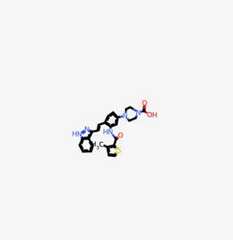 Cc1ccsc1C(=O)Nc1cc(N2CCN(C(=O)O)CC2)ccc1C=Cc1n[nH]c2ccccc12